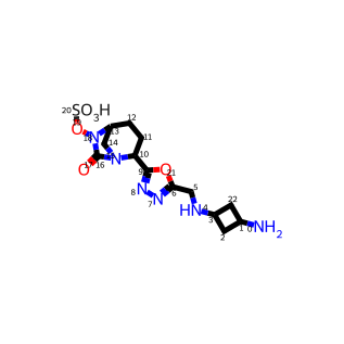 NC1CC(NCc2nnc(C3CCC4CN3C(=O)N4OS(=O)(=O)O)o2)C1